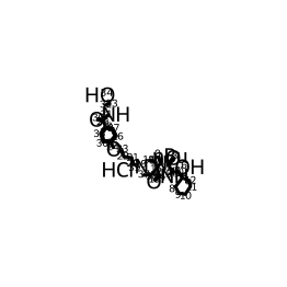 CCCCN1C(=O)[C@@H]([C@H](O)C2CCCCC2)NC(=O)C12CCN(CCCCOc1ccc(C(=O)NCCO)cc1)CC2.Cl